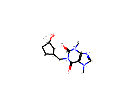 Cn1cnc2c1c(=O)n(CC1CC[C@@](C)(O)C1)c(=O)n2C